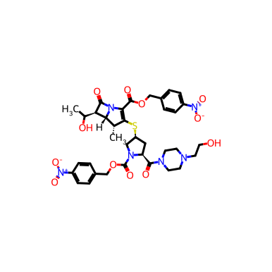 CC(O)[C@H]1C(=O)N2C(C(=O)OCc3ccc([N+](=O)[O-])cc3)=C(S[C@H]3C[C@@H](C(=O)N4CCN(CCO)CC4)N(C(=O)OCc4ccc([N+](=O)[O-])cc4)C3)[C@H](C)[C@H]12